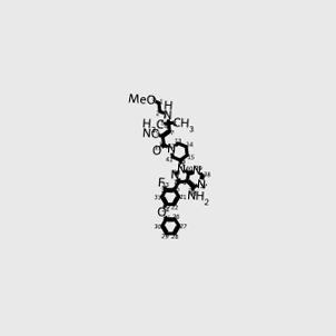 COCCNC(C)(C)C=C(C#N)C(=O)N1CCC[C@@H](n2nc(-c3ccc(Oc4ccccc4)cc3F)c3c(N)ncnc32)C1